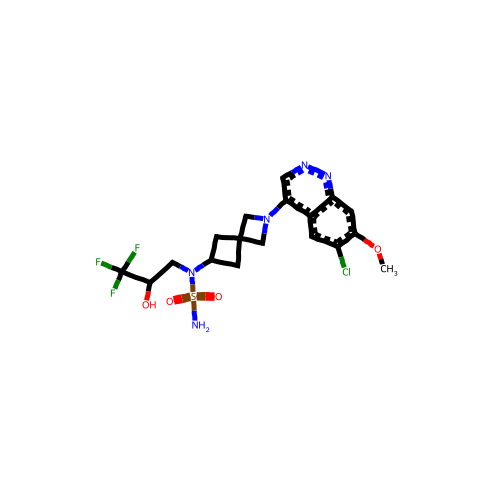 COc1cc2nncc(N3CC4(CC(N(CC(O)C(F)(F)F)S(N)(=O)=O)C4)C3)c2cc1Cl